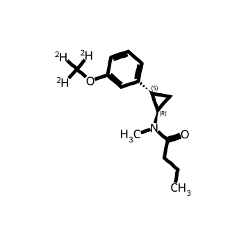 [2H]C([2H])([2H])Oc1cccc([C@@H]2C[C@H]2N(C)C(=O)CCC)c1